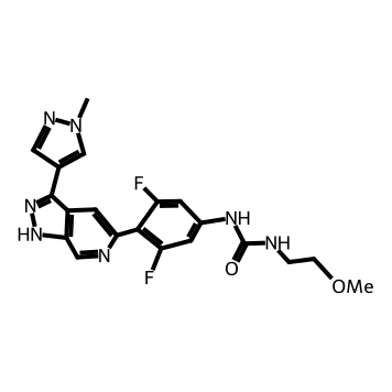 COCCNC(=O)Nc1cc(F)c(-c2cc3c(-c4cnn(C)c4)n[nH]c3cn2)c(F)c1